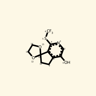 Oc1cnc(SC(F)(F)F)c2c1CCC21OCCO1